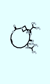 CC(C)N[C@]1(C)CCCCC=CCOC(=O)N2CC(C(=O)C(C)C)(C2)NCC1=O